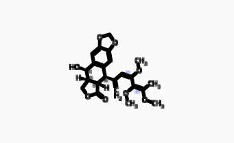 C=C(/C=C(OC)\C(OC)=C(/C)OC)[C@@H]1c2cc3c(cc2[C@H](O)[C@H]2COC(=O)[C@H]21)OCO3